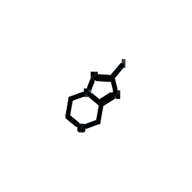 Ic1nc2n(n1)CCOC2